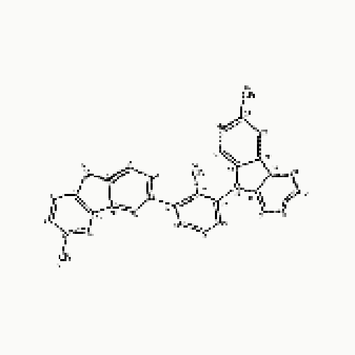 N#Cc1ccc2sc3ccc(-c4cccc(-n5c6ccccc6c6cc(C#N)ccc65)c4C#N)cc3c2c1